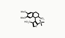 COc1cc2c(cc1OC)C(c1c(C(=O)O)csc1[Si](C)(C)C)C([N+](=O)[O-])CC2